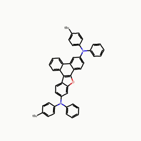 CC(C)(C)c1ccc(N(c2ccccc2)c2ccc3c(c2)oc2c4ccc(N(c5ccccc5)c5ccc(C(C)(C)C)cc5)cc4c4ccccc4c32)cc1